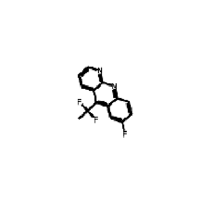 CC(F)(F)c1c2cc(F)ccc2nc2ncccc12